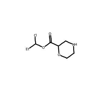 CCC(Cl)OC(=O)C1CNCCO1